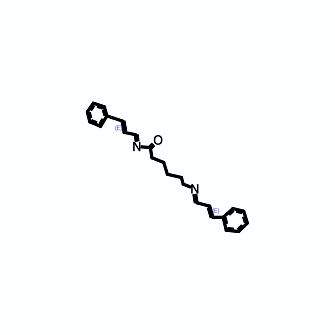 O=C(CCCCCN=C/C=C/c1ccccc1)N=C/C=C/c1ccccc1